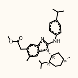 COC(=O)Cc1cc2nc(Nc3ccc(C(C)C)cc3)n([C@@H]3C[C@H](C)CC[C@H]3C(C)C)c2cc1C